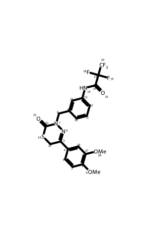 COc1ccc(C2=NN(Cc3cccc(NC(=O)C(F)(F)C(F)(F)F)c3)C(=O)SC2)cc1OC